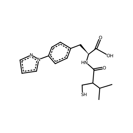 CC(C)C(CS)C(=O)N[C@@H](Cc1ccc(-n2cccn2)cc1)C(=O)O